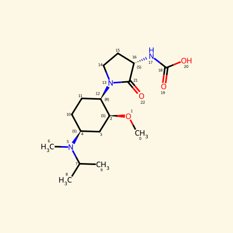 CO[C@H]1C[C@@H](N(C)C(C)C)CC[C@H]1N1CC[C@H](NC(=O)O)C1=O